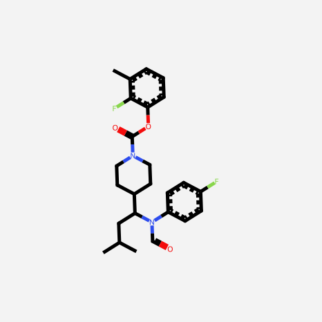 Cc1cccc(OC(=O)N2CCC(C(CC(C)C)N(C=O)c3ccc(F)cc3)CC2)c1F